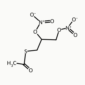 CC(=O)SCC(CO[N+](=O)[O-])O[N+](=O)[O-]